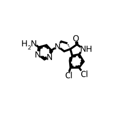 Nc1cc(N2CC[C@]3(C2)C(=O)Nc2cc(Cl)c(Cl)cc23)ncn1